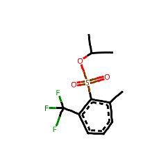 Cc1cccc(C(F)(F)F)c1S(=O)(=O)OC(C)C